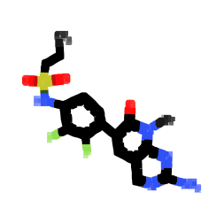 CC(C)n1c(=O)c(-c2ccc(NS(=O)(=O)CCC(F)(F)F)c(F)c2F)cc2cnc(N)nc21